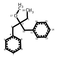 CCC(Cc1ccccc1)(Cc1ccccc1)OC